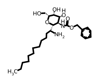 CCCCCCCCCCCC(N)[C@@H]1O[C@H](CO)[C@H](O)[C@H](O)[C@H]1NC(=O)OCc1ccccc1